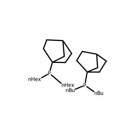 CCCCCCP(CCCCCC)C12CCC(CC1)C2.CCCCP(CCCC)C12CCC(CC1)C2